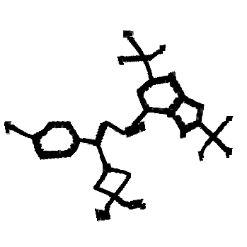 CC1(O)CN(C(CNc2cc(C(F)(F)F)nc3cc(C(F)(F)F)nn23)c2ccc(F)cc2)C1